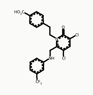 O=C(O)c1ccc(CCn2c(CNc3cccc(C(F)(F)F)c3)c(Cl)cc(Cl)c2=O)cc1